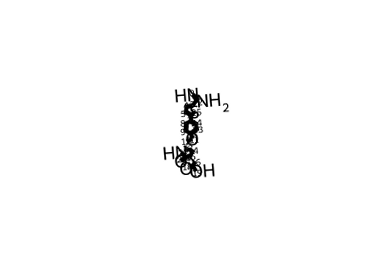 N=C(N)c1ccc(-c2ccc(OC[C@@H]3C[C@@H](CC(=O)O)C(=O)N3)cc2)s1